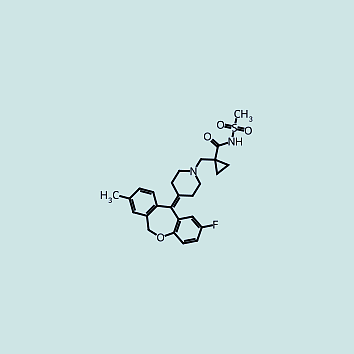 Cc1ccc2c(c1)COc1ccc(F)cc1C2=C1CCN(CC2(C(=O)NS(C)(=O)=O)CC2)CC1